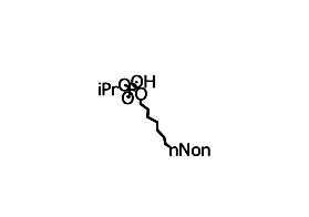 CCCCCCCCCCCCCCCCOP(=O)(O)OC(C)C